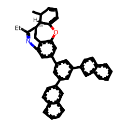 CCC1=Nc2cc(-c3cc(-c4ccc5ccccc5c4)cc(-c4ccc5ccccc5c4)c3)cc3c2CC1[C@H]1C(=CC=CC1C)O3